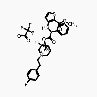 COC(=O)c1sccc1NC(C(=O)O[C@H]1C[N+]2(CCc3ccc(F)cc3)CCC1CC2)c1ccccc1.O=C([O-])C(F)(F)F